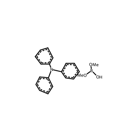 COB(O)OC.c1ccc(N(c2ccccc2)c2ccccc2)cc1